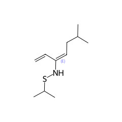 C=C/C(=C\CC(C)C)NSC(C)C